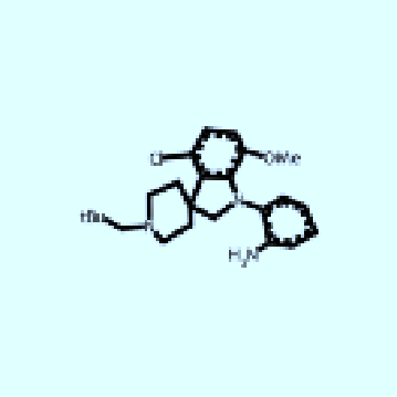 COc1ccc(Cl)c2c1N(c1ccccc1N)CC21CCN(CC(C)(C)C)CC1